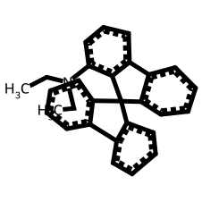 CCN(CC)c1cccc2c1C1(c3ccccc3-c3ccccc31)c1ccccc1-2